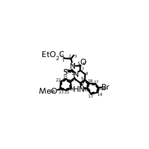 CCOC(=O)CC(C)N1C(=O)C2Cc3c([nH]c4ccc(Br)cc34)C(c3ccc(OC)cc3)N2C1=S